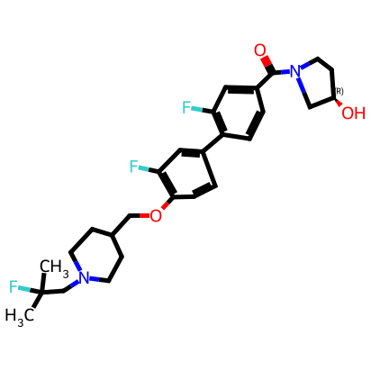 CC(C)(F)CN1CCC(COc2ccc(-c3ccc(C(=O)N4CC[C@@H](O)C4)cc3F)cc2F)CC1